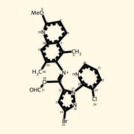 COc1ccc2c(C)c(/N=C(\OC=O)c3cc(Br)nn3-c3ncccc3Cl)c(C)cc2n1